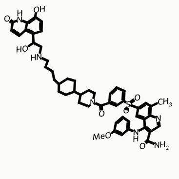 COc1cccc(Nc2c(C(N)=O)cnc3c(C)cc(S(=O)(=O)c4cccc(C(=O)N5CCC(C6CCC(CCCCNCC(O)c7ccc(O)c8[nH]c(=O)ccc78)CC6)CC5)c4)cc23)c1